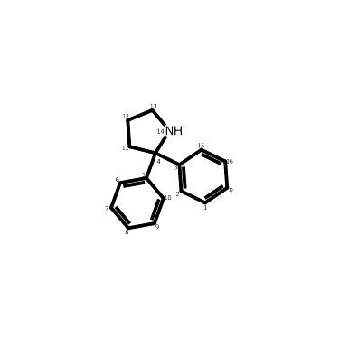 c1ccc(C2(c3ccccc3)CCCN2)cc1